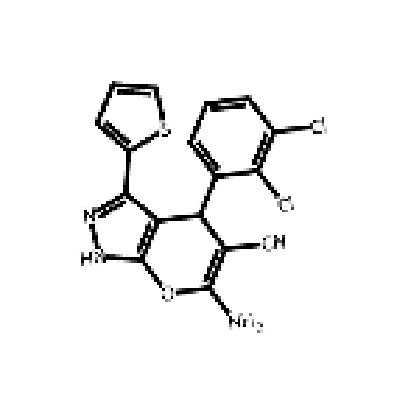 N#CC1=C(N)Oc2[nH]nc(-c3cccs3)c2C1c1cccc(Cl)c1Cl